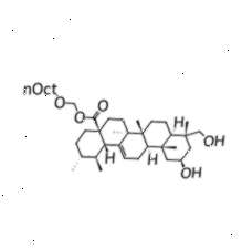 CCCCCCCCOCOC(=O)[C@]12CC[C@@H](C)[C@H](C)[C@H]1C1=CC[C@@H]3[C@@]4(C)C[C@H](O)C[C@@](C)(CO)[C@@H]4CC[C@@]3(C)[C@]1(C)CC2